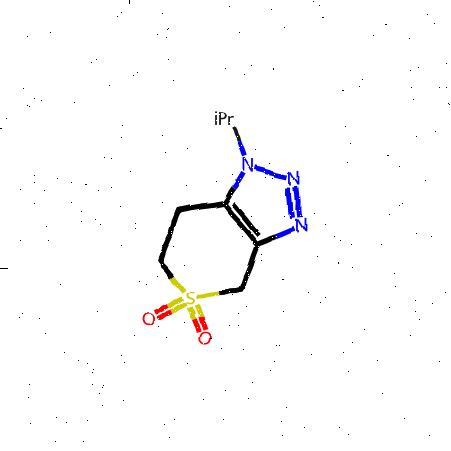 CC(C)n1nnc2c1CCS(=O)(=O)C2